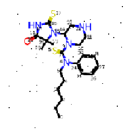 CCCCCCN(C(=S)N1CCNCC1N1C(=S)NC(=O)C1(C)C)c1ccccc1